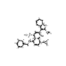 Cc1oc2ccccc2c1-c1cc(C(=O)O)c2c(OCc3ccccc3)ccc(C3CC3)c2n1